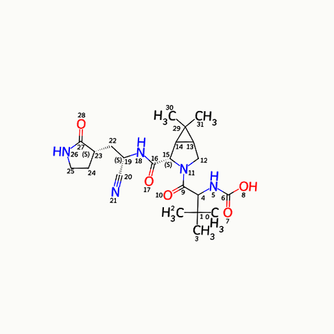 CC(C)(C)C(NC(=O)O)C(=O)N1CC2C([C@H]1C(=O)N[C@H](C#N)C[C@@H]1CCNC1=O)C2(C)C